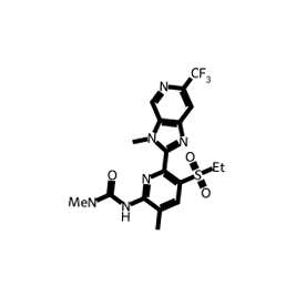 CCS(=O)(=O)c1cc(C)c(NC(=O)NC)nc1-c1nc2cc(C(F)(F)F)ncc2n1C